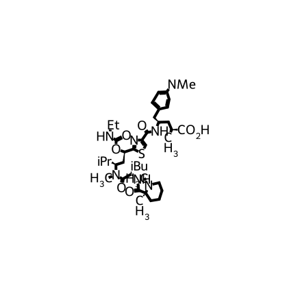 CCNC(=O)O[C@H](C[C@H](C(C)C)N(C)C(=O)[C@@H](NC(=O)[C@]1(C)CCCCN1C)[C@@H](C)CC)c1nc(C(=O)N[C@@H](Cc2ccc(NC)cc2)C[C@H](C)C(=O)O)cs1